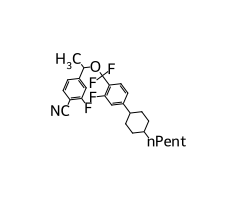 CCCCCC1CCC(c2ccc(C(F)(F)OC(C)c3ccc(C#N)c(F)c3)c(F)c2)CC1